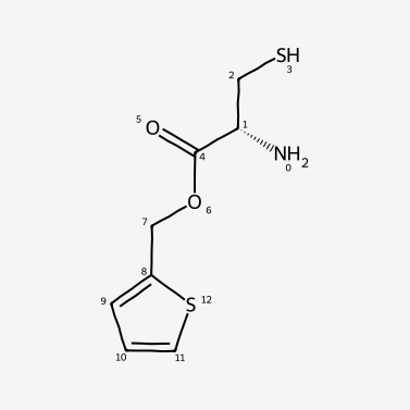 N[C@@H](CS)C(=O)OCc1cccs1